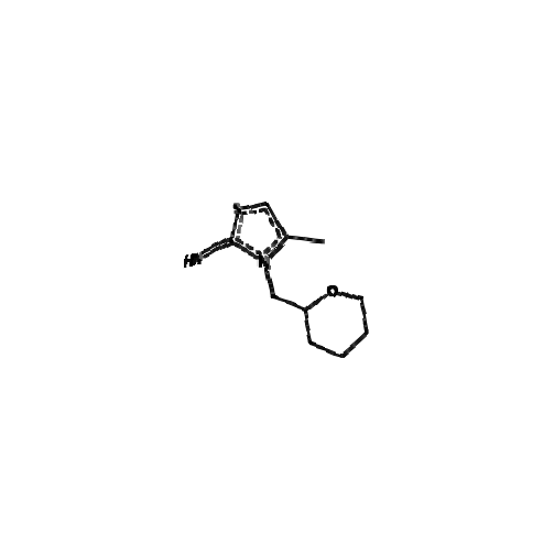 Cc1csc(=N)n1CC1CCCCO1